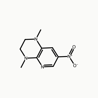 CN1CCN(C)c2ncc([N+](=O)[O-])cc21